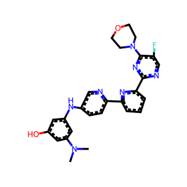 CN(C)c1cc(O)cc(Nc2ccc(-c3cccc(-c4ncc(F)c(N5CCOCC5)n4)n3)nc2)c1